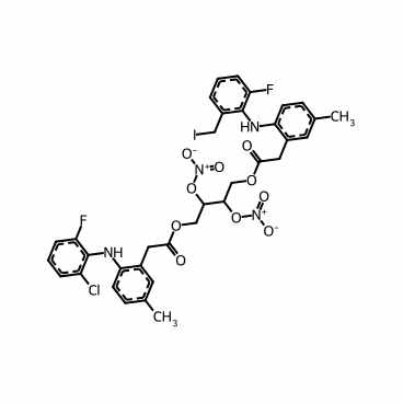 Cc1ccc(Nc2c(F)cccc2Cl)c(CC(=O)OCC(O[N+](=O)[O-])C(COC(=O)Cc2cc(C)ccc2Nc2c(F)cccc2CI)O[N+](=O)[O-])c1